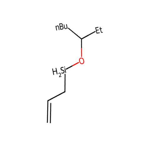 C=CC[SiH2]OC(CC)CCCC